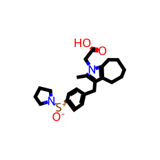 Cc1c(Cc2ccc([S+]([O-])N3CCCC3)cc2)c2c(n1CC(=O)O)CCCCC2